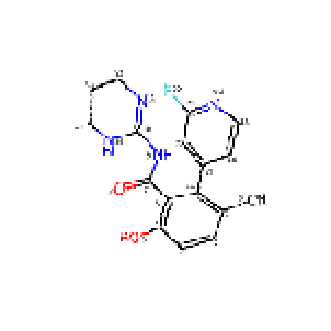 N#Cc1ccc(O)c(C(=O)NC2=NCCCN2)c1-c1ccnc(F)c1